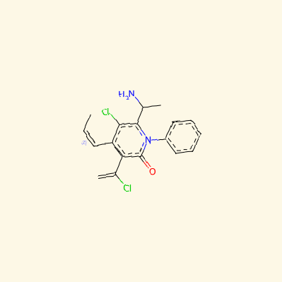 C=C(Cl)c1c(/C=C\C)c(Cl)c(C(C)N)n(-c2ccccc2)c1=O